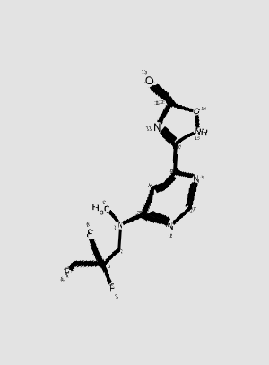 CN(CC(F)(F)F)c1cc(-c2nc(=O)o[nH]2)ncn1